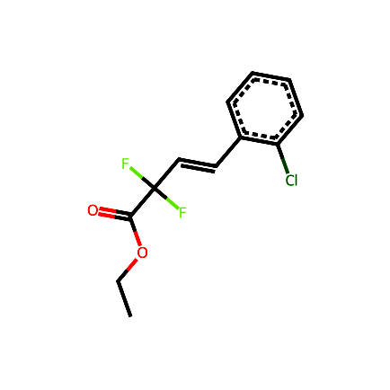 CCOC(=O)C(F)(F)C=Cc1ccccc1Cl